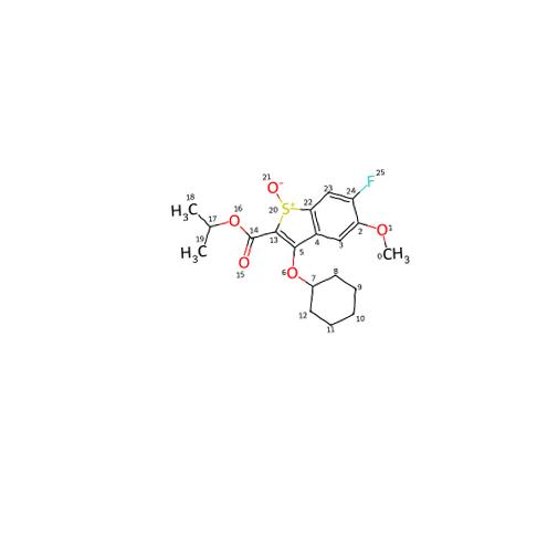 COc1cc2c(OC3CCCCC3)c(C(=O)OC(C)C)[s+]([O-])c2cc1F